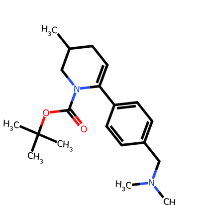 CC1CC=C(c2ccc(CN(C)C)cc2)N(C(=O)OC(C)(C)C)C1